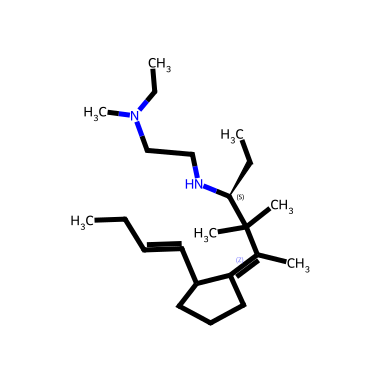 CCC=CC1CCC/C1=C(\C)C(C)(C)[C@H](CC)NCCN(C)CC